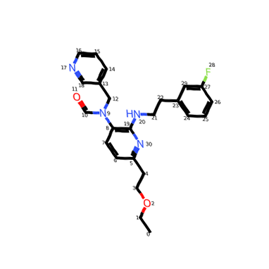 CCOCCc1ccc(N(C=O)Cc2cccnc2)c(NCCc2cccc(F)c2)n1